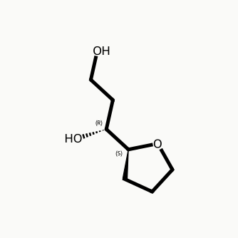 OCC[C@@H](O)[C@@H]1CCCO1